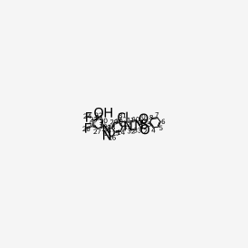 O=S(=O)(c1ccccc1)N1CCN(c2cc3cnn(-c4cc(O)c(F)c(F)c4)c3cc2Cl)CC1